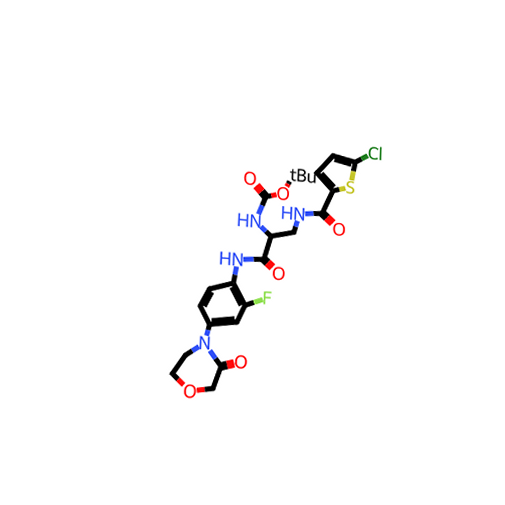 CC(C)(C)OC(=O)NC(CNC(=O)c1ccc(Cl)s1)C(=O)Nc1ccc(N2CCOCC2=O)cc1F